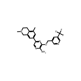 Cc1cc(-c2cnc(N)c(OCc3cncc(C(F)(F)F)c3)n2)cc2c1CCN(C)C2